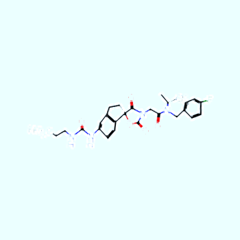 C[C@H](N(Cc1ccc(F)cc1)C(=O)CN1C(=O)O[C@@]2(CCc3cc(NC(=O)NCCC(=O)O)ccc32)C1=O)C(F)(F)F